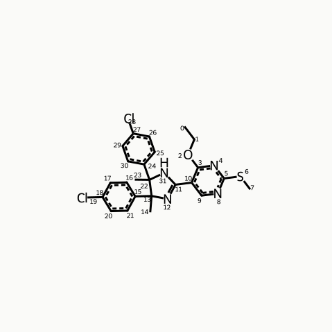 CCOc1nc(SC)ncc1C1=NC(C)(c2ccc(Cl)cc2)C(C)(c2ccc(Cl)cc2)N1